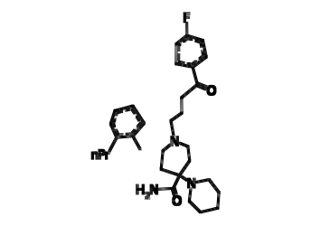 CCCc1ccccc1C.NC(=O)C1(N2CCCCC2)CCN(CCCC(=O)c2ccc(F)cc2)CC1